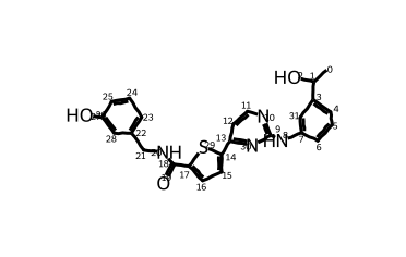 CC(O)c1cccc(Nc2nccc(-c3ccc(C(=O)NCc4cccc(O)c4)s3)n2)c1